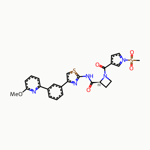 COc1cccc(-c2cccc(-c3csc(NC(=O)[C@@H]4CCN4C(=O)c4ccn(S(C)(=O)=O)c4)n3)c2)n1